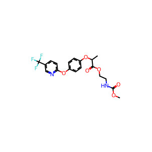 COC(=O)NCCOC(=O)C(C)Oc1ccc(Oc2ccc(C(F)(F)F)cn2)cc1